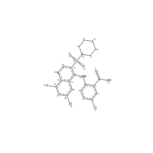 O=C(O)c1cc(Cl)ccc1Nc1c(S(=O)(=O)N2CCSCC2)cnc2c(F)cc(Cl)cc12